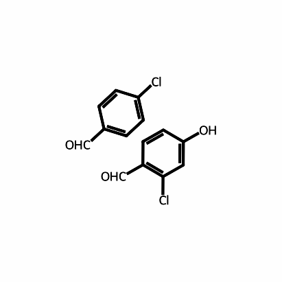 O=Cc1ccc(Cl)cc1.O=Cc1ccc(O)cc1Cl